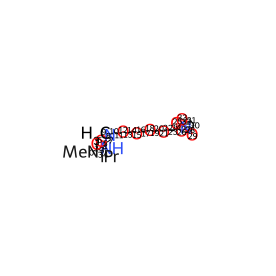 CNC(=O)[C@@H](NC(=O)CN(C)CCOCCOCCOCCOCCC(=O)ON1C(=O)CCC1=O)C(C)C